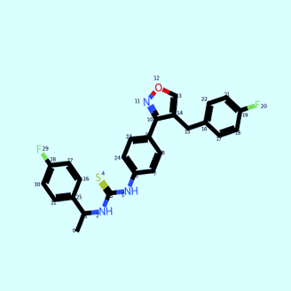 CC(NC(=S)Nc1ccc(-c2nocc2Cc2ccc(F)cc2)cc1)c1ccc(F)cc1